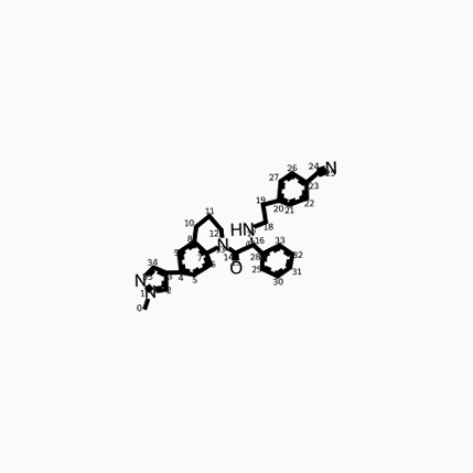 Cn1cc(-c2ccc3c(c2)CCCN3C(=O)[C@H](NCCc2ccc(C#N)cc2)c2ccccc2)cn1